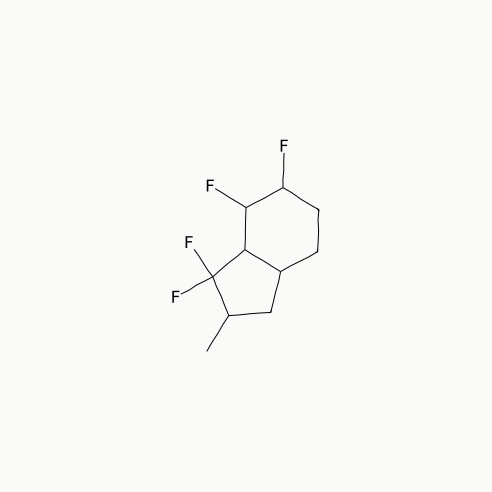 CC1CC2CCC(F)C(F)C2C1(F)F